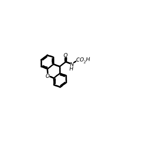 O=C(O)NC(=O)C1c2ccccc2Oc2ccccc21